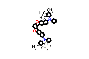 Cc1ccc(N(c2ccccc2)c2ccc3cc4c(cc3c2)oc2ccc3oc5cc6cc(N(c7ccccc7)c7ccc(C)c(C)c7C)ccc6cc5c3c24)c(C)c1C